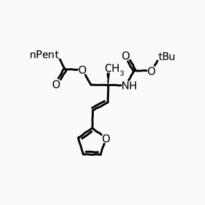 CCCCCC(=O)OC[C@@](C)(C=Cc1ccco1)NC(=O)OC(C)(C)C